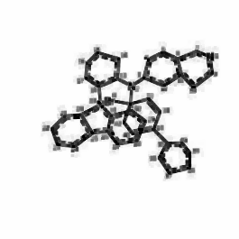 BrC1(N(c2ccc3cnccc3c2)c2ccccc2-n2c3ccccc3c3ccccc32)C=CC(c2ccccc2)=CC1